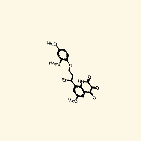 CCCCCc1cc(OC)ccc1OCCC(CC)c1cc(OC)cc2c1NC(=O)C(=O)C2=O